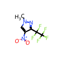 Cn1cc([N+](=O)[O-])c(C(F)(F)C(F)(F)F)n1